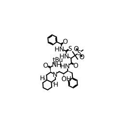 CC(C)(C)NC(=O)[C@@H]1C[C@@H]2CCCC[C@@H]2CN1C[C@@H](O)[C@H](Cc1ccccc1)NC(=O)[C@@H](NC(=S)NC(=O)c1ccccc1)C(C)(C)S(C)(=O)=O